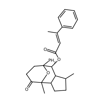 C/C(=C\C(=O)OC1C2C(C)CCC2C2(C)OC1(P)CCC2=O)c1ccccc1